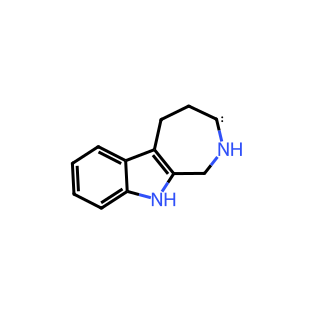 [C]1CCc2c([nH]c3ccccc23)CN1